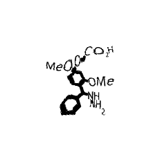 COC1=C(C(NN)c2ccccc2)C=CC(OC)(OCC(=O)O)C1